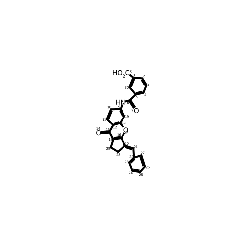 O=C(O)c1cccc(C(=O)Nc2ccc3c(=O)c4c(oc3c2)C(=Cc2ccccc2)CC4)c1